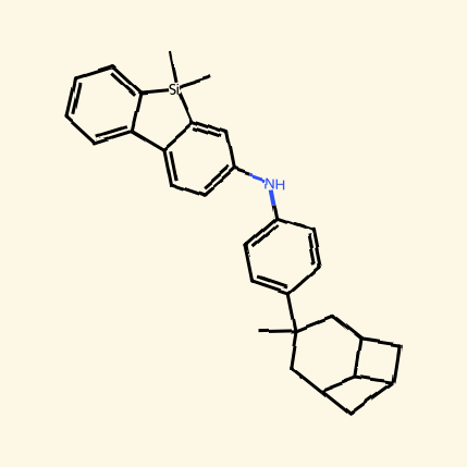 CC1(c2ccc(Nc3ccc4c(c3)[Si](C)(C)c3ccccc3-4)cc2)CC2CC3CC(C1)C32